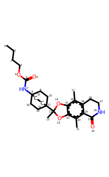 CCCCOC(=O)NC12CCC(C3(C)Oc4c(C)c5c(c(C)c4O3)C(=O)NCC5)(CC1)CC2